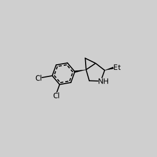 CC[C@H]1NC[C@]2(c3ccc(Cl)c(Cl)c3)CC12